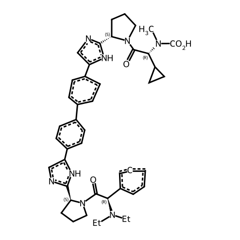 CCN(CC)[C@@H](C(=O)N1CCC[C@H]1c1ncc(-c2ccc(-c3ccc(-c4cnc([C@@H]5CCCN5C(=O)[C@@H](C5CC5)N(C)C(=O)O)[nH]4)cc3)cc2)[nH]1)c1ccccc1